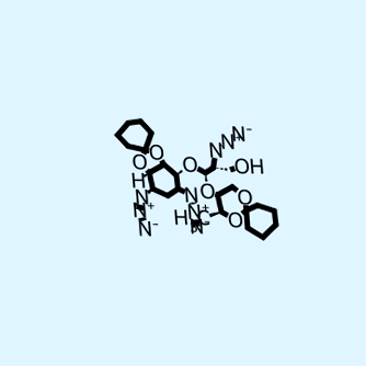 C[C@@H]1OC2(CCCCC2)OCC1O[C@H](O[C@@H]1C(N=[N+]=[N-])C[C@@H](N=[N+]=[N-])[C@H]2OC3(CCCCC3)OC12)[C@@H](CO)N=[N+]=[N-]